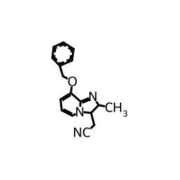 CC1N=C2C(OCc3ccccc3)=CC=CN2C1CC#N